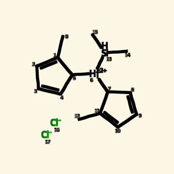 CC1=CC=C[CH]1[Hf+2]([CH]1C=CC=C1C)[SiH](C)C.[Cl-].[Cl-]